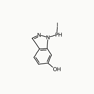 Oc1ccc2cnn(PI)c2c1